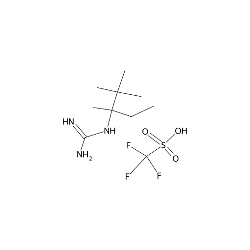 CCC(C)(NC(=N)N)C(C)(C)C.O=S(=O)(O)C(F)(F)F